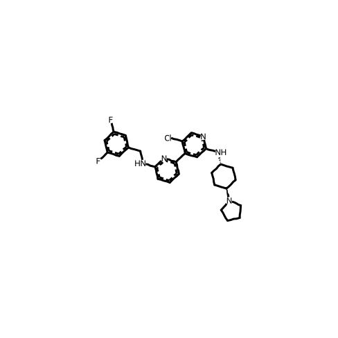 Fc1cc(F)cc(CNc2cccc(-c3cc(N[C@H]4CC[C@H](N5CCCC5)CC4)ncc3Cl)n2)c1